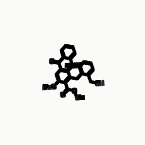 COc1cccc(CO)c1Cc1c(C(=O)OC(C)(C)C)c(OC)cc2c1C(=O)c1ccccc1C2=O